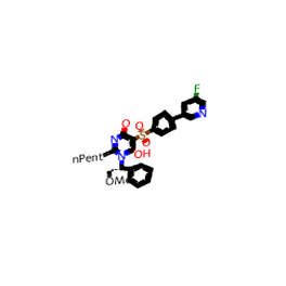 CCCCCc1nc(=O)c(S(=O)(=O)c2ccc(-c3cncc(F)c3)cc2)c(O)n1[C@@H](COC)c1ccccc1